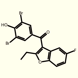 CCc1oc2ccc(F)cc2c1C(=O)c1cc(Br)c(O)c(Br)c1